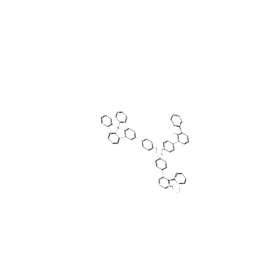 c1ccc(C2(c3ccccc3)c3ccccc3-c3cc(-c4ccc(N(c5ccc(-c6cccc7c6sc6ccccc67)cc5)c5ccc(-c6cccc7oc8ccccc8c67)cc5)cc4)ccc32)cc1